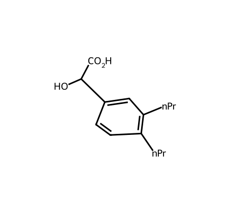 CCCc1ccc(C(O)C(=O)O)cc1CCC